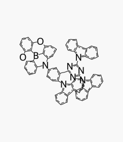 c1cc2c3c(c1)Oc1cccc4c1B3c1c(cccc1N4c1ccc(-n3c4ccccc4c4ccccc43)c(-c3nc(-n4c5ccccc5c5ccccc54)nc(-n4c5ccccc5c5ccccc54)n3)c1)O2